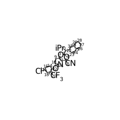 CC(C)C(C(=O)OC(C#N)c1cccc(Oc2ccc(Cl)cc2C(F)(F)F)n1)c1ccc2ccccc2c1